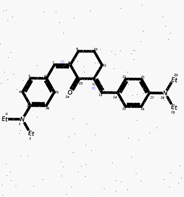 CCN(CC)c1ccc(/C=C2/CCC/C(=C\c3ccc(N(CC)CC)cc3)C2=O)cc1